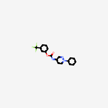 O=C(N=c1ccn(-c2ccccc2)nc1)Oc1cccc(C(F)(F)F)c1